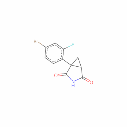 O=C1NC(=O)C2(c3ccc(Br)cc3F)CC12